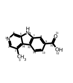 Cc1cncc2[nH]c3cc(C(=O)O)ccc3c12